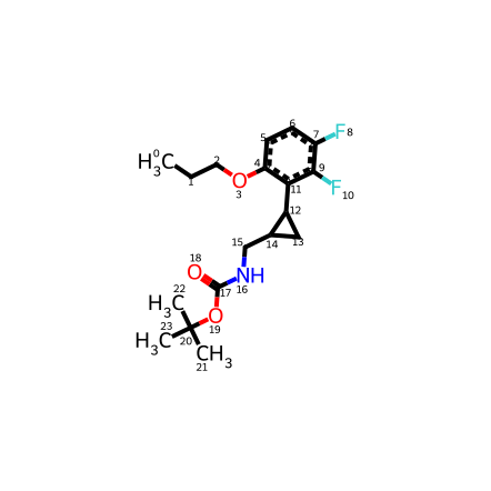 CCCOc1ccc(F)c(F)c1C1CC1CNC(=O)OC(C)(C)C